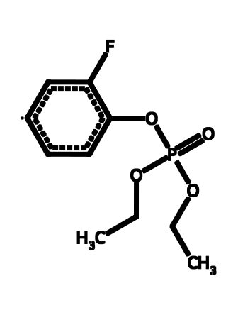 CCOP(=O)(OCC)Oc1cc[c]cc1F